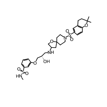 CNS(=O)(=O)c1cccc(OC[C@@H](O)CNC2COC3(CCN(S(=O)(=O)c4ccc5c(c4)CCC(C)(C)O5)CC3)C2)c1